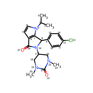 CC(C)n1ccc2c1C(c1ccc(Cl)cc1)N(C1CN(C)C(=O)N(C)C1)C2=O